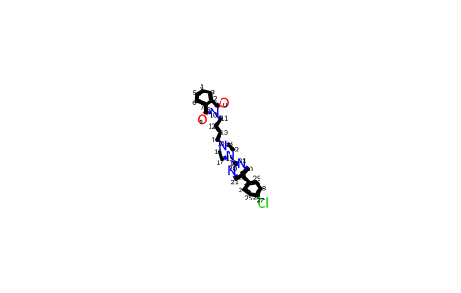 O=C1c2ccccc2C(=O)N1CCCCN1CCN(c2ncc(-c3ccc(Cl)cc3)cn2)CC1